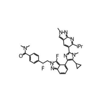 CC(C)c1nc2nn(C)cc2cc1-c1nc(-c2cccc3nn(C[C@H](F)c4ccc(C(=O)N(C)C)cc4)c(F)c23)c(C2CC2)n1C